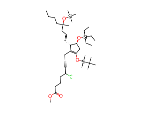 CCCCC(C)(C/C=C/[C@H]1C(CC#CC(Cl)CCCC(=O)OC)=C(O[Si](C)(C)C(C)(C)C)C[C@@H]1O[Si](CC)(CC)CC)O[Si](C)(C)C